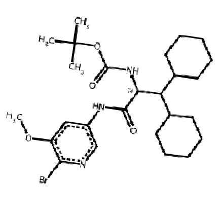 COc1cc(NC(=O)[C@@H](NC(=O)OC(C)(C)C)C(C2CCCCC2)C2CCCCC2)cnc1Br